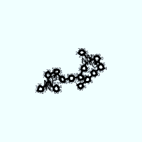 c1ccc(-c2ccc(-c3ccc(-c4cccc5c4oc4c(-c6nc(-c7ccccc7)nc(-c7ccc(-c8cccc(-c9ccc(-c%10cccc(-c%11cccc%12c%11oc%11c(-c%13nc(-c%14ccccc%14)nc(-c%14ccccc%14)n%13)cccc%11%12)c%10)cc9)c8)cc7)n6)cccc45)cc3)cc2)cc1